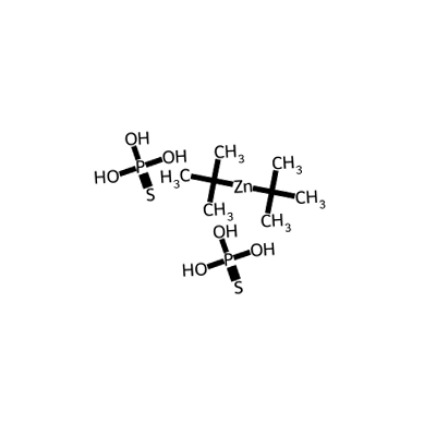 C[C](C)(C)[Zn][C](C)(C)C.OP(O)(O)=S.OP(O)(O)=S